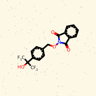 O=C1c2ccccc2C(=O)N1OCc1ccc(C(O)(C(F)(F)F)C(F)(F)F)cc1